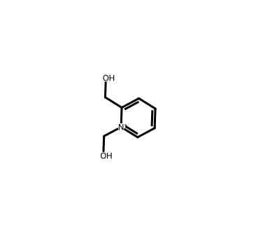 OCc1cccc[n+]1CO